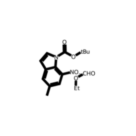 CCOC=O.Cc1cc([N+](=O)[O-])c2c(ccn2C(=O)OC(C)(C)C)c1